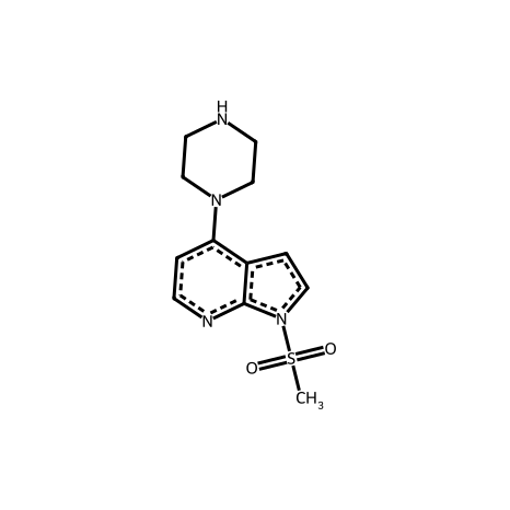 CS(=O)(=O)n1ccc2c(N3CCNCC3)ccnc21